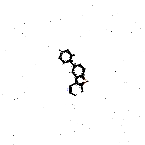 C/C=C\c1c(C)sc2ccc(-c3ccccc3)cc12